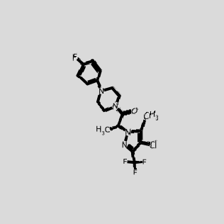 Cc1c(Cl)c(C(F)(F)F)nn1C(C)C(=O)N1CCN(c2ccc(F)cc2)CC1